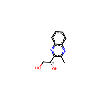 Cc1nc2ccccc2nc1[C@H](O)CO